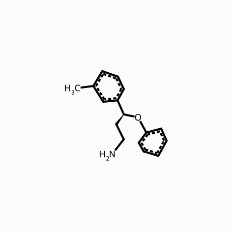 Cc1cccc([C@H](CCN)Oc2ccccc2)c1